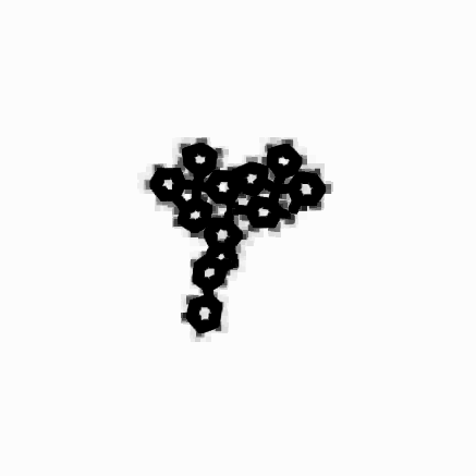 c1ccc(-c2ccc3c(c2)sc2cc(N(c4cccc(C5(c6ccccc6)c6ccccc6-c6ccccc65)c4)c4ccc5c(c4)C(c4ccccc4)(c4ccccc4)c4ccccc4S5)ccc23)cc1